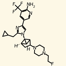 Nc1ncc(-c2cn([C@]34C5C(N6CCN(CCF)CC6)C[C@@H]3[C@H]54)c(CC3CC3)n2)cc1C(F)(F)F